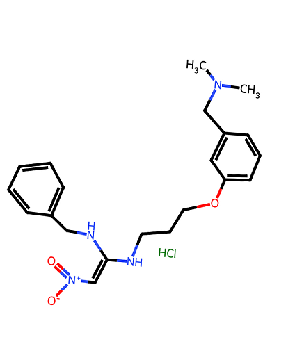 CN(C)Cc1cccc(OCCCN/C(=C/[N+](=O)[O-])NCc2ccccc2)c1.Cl